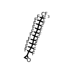 FC(F)(F)C(F)(F)C(F)(F)C(F)(F)C(F)(F)C(F)(F)C(F)(F)C(F)(F)C(F)(F)C(F)(F)C(F)(F)C1CO1